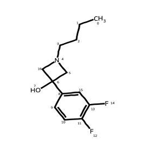 CCCCN1CC(O)(c2ccc(F)c(F)c2)C1